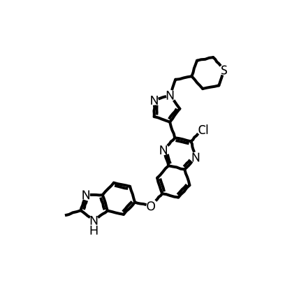 Cc1nc2ccc(Oc3ccc4nc(Cl)c(-c5cnn(CC6CCSCC6)c5)nc4c3)cc2[nH]1